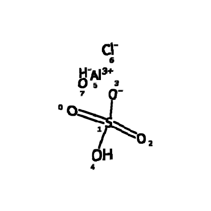 O=S(=O)([O-])O.[Al+3].[Cl-].[OH-]